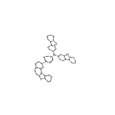 c1ccc2c(c1)oc1cc(N(c3ccc(-c4ccc5ccc6sc7ccccc7c6c5c4)cc3)c3ccc4c(c3)sc3ccccc34)ccc12